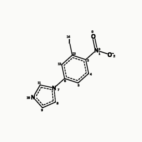 O=[N+]([O-])c1ccc(-n2ccnc2)cc1I